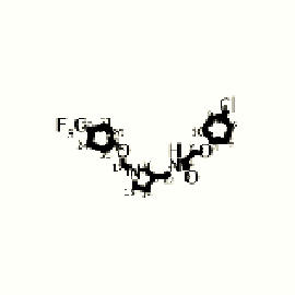 O=C(COc1ccc(Cl)cc1)NCC1CCN(COc2ccc(C(F)(F)F)cc2)C1